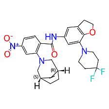 O=C(Nc1cc2c(c(N3CCC(F)(F)CC3)c1)OCC2)c1ccc([N+](=O)[O-])cc1N1C[C@H]2CC[C@@H](C1)C21CC1